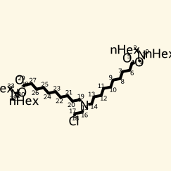 CCCCCCN(CCCCCC)OC(=O)CCCCCCCCCN(CCCl)CCCCCCCCCC(=O)ON(CCCCCC)CCCCCC